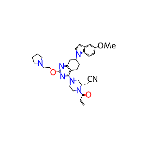 C=CC(=O)N1CCN(c2nc(OCCN3CCCC3)nc3c2CCC(n2ccc4cc(OC)ccc42)C3)C[C@@H]1CC#N